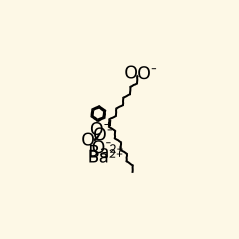 CCCCCCCC/C=C\CCCCCCCC(=O)[O-].O=C([O-])[O-].[Ba+2].[Ba+2].[O-]c1ccccc1